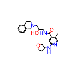 Cc1cnc(NC2CCOC2)cc1C(=O)NCC(O)CN1CCc2ccccc2C1